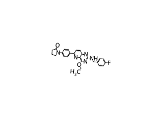 CCOc1nc(NCc2ccc(F)cc2)nc2ccc(-c3ccc(N4CCCC4=O)cc3)nc12